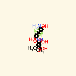 CC(C)c1cc(C(=O)Nc2cc(C(c3ccc(O)c(N)c3)(C(F)(F)F)C(F)(F)F)ccc2O)c(C(=O)O)cc1C(=O)O